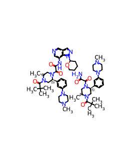 C[C@@H]1CN(C(=O)C(=O)Nc2cncc3cnn(C4CCCCO4)c23)[C@@H](c2cccc(N3CCN(C)CC3)c2)CN1C(=O)C(C)(C)C.C[C@@H]1CN(C(=O)C(N)=O)[C@@H](c2cccc(N3CCN(C)CC3)c2)CN1C(=O)C(C)(C)C